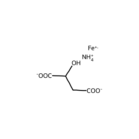 O=C([O-])CC(O)C(=O)[O-].[Fe+].[NH4+]